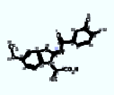 CCC(C(=O)O)n1/c(=N/C(=O)c2ccc(F)c(Cl)c2)sc2cc(OC(F)(F)F)ccc21